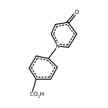 O=C(O)c1ccc(-n2ccc(=O)cc2)cc1